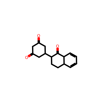 O=C1CC(=O)CC(C2CCC3C=CC=CC3C2=O)C1